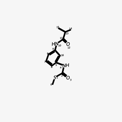 CSC(=O)Nc1cccc(NC(=O)C(C)C)c1